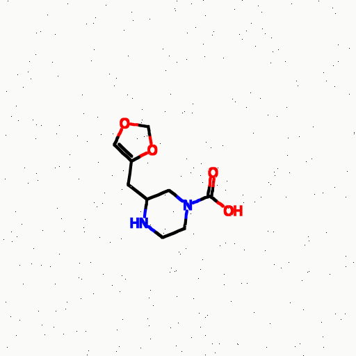 O=C(O)N1CCNC(CC2=COCO2)C1